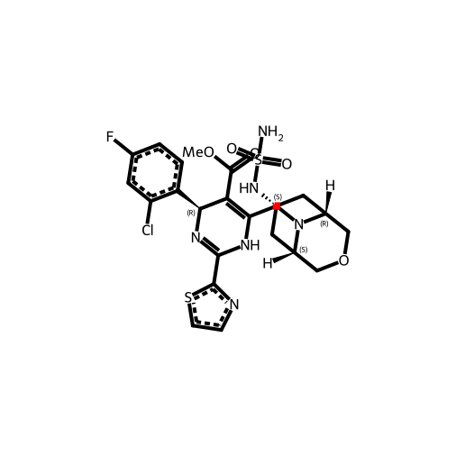 COC(=O)C1=C(CN2[C@@H]3COC[C@H]2C[C@@H](NS(N)(=O)=O)C3)NC(c2nccs2)=N[C@H]1c1ccc(F)cc1Cl